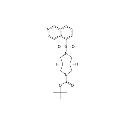 CC(C)(C)OC(=O)N1C[C@@H]2CN(S(=O)(=O)c3cccc4cnccc34)C[C@@H]2C1